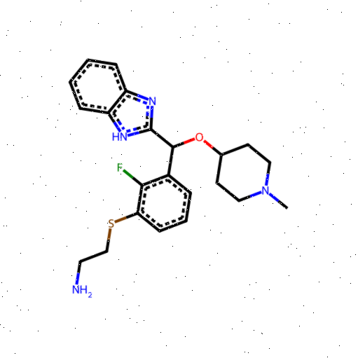 CN1CCC(OC(c2nc3ccccc3[nH]2)c2cccc(SCCN)c2F)CC1